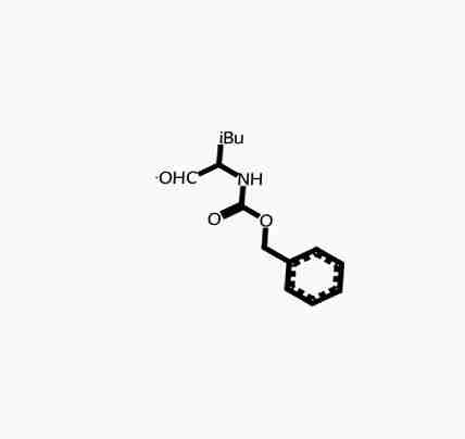 CCC(C)C([C]=O)NC(=O)OCc1ccccc1